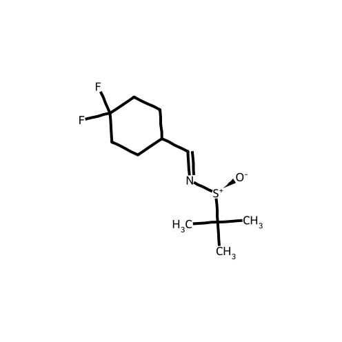 CC(C)(C)[S@+]([O-])/N=C/C1CCC(F)(F)CC1